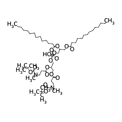 CCCCCCCCCCCCCC(=O)OCC(COP(=O)(O)OCC(COC(=O)CCN(C)C(=O)OC(C)(C)C)OC(=O)CCN(C)C(=O)OC(C)(C)C)OC(=O)CCCCCCCCCCCCC